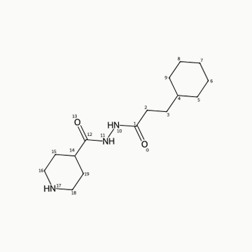 O=C(CCC1CCCCC1)NNC(=O)C1CCNCC1